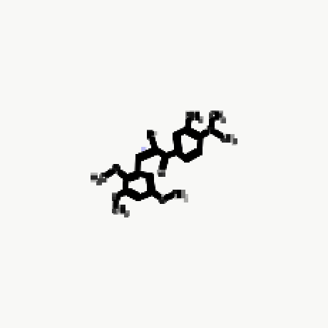 COc1cc(/C=C(/Br)C(=O)c2ccc(N(C)C)c(N)c2)c(OC)c(OC)c1